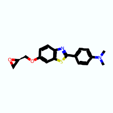 CN(C)c1ccc(-c2nc3ccc(OC[C@H]4CO4)cc3s2)cc1